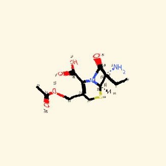 CC[C@]1(N)C(=O)N2C(C(=O)O)=C(COC(C)=O)CS[C@@H]21